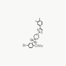 COc1ccc(Br)cc1S(=O)(=O)N1CCN(c2nc(-c3ccc(C)c(C)c3)cs2)CC1